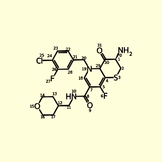 N[C@H]1CSC2=C(F)C(C(=O)NCC3CCOCC3)=CN(Cc3ccc(Cl)c(F)c3)C2C1=O